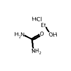 CCO.Cl.NC(N)=O